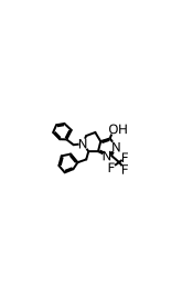 Oc1nc(C(F)(F)F)nc2c1CCN(Cc1ccccc1)C2Cc1ccccc1